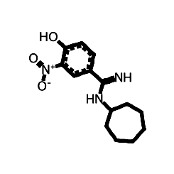 N=C(NC1CCCCCC1)c1ccc(O)c([N+](=O)[O-])c1